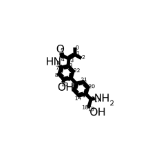 CC(C)=C1C(=O)Nc2cc(O)c(-c3ccc(C(N)CO)cc3)cc21